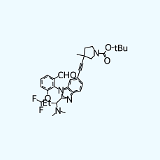 CCC(c1nc2ccc(C#CC3(C)CCN(C(=O)OC(C)(C)C)C3)cc2n1-c1c(C=O)cccc1OC(F)F)N(C)C